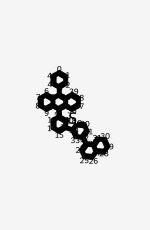 c1ccc(-c2c3ccccc3c(-c3cccc4c3sc3ccc(-c5cccc6ccccc56)cc34)c3ccccc23)cc1